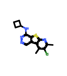 Cc1nc2sc3c(NC4CCC4)nncc3c2c(C)c1Cl